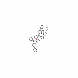 c1ccc(-c2ccc3c(c2)c2ccccc2n3-c2ccccc2-c2ccc(N(c3ccccc3)c3ccc4c(c3)C(c3ccccc3)(c3ccccc3)c3ccccc3-4)cc2)cc1